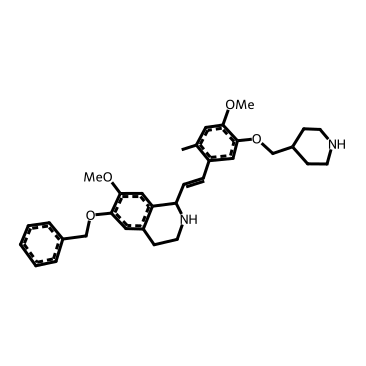 COc1cc2c(cc1OCc1ccccc1)CCNC2/C=C/c1cc(OCC2CCNCC2)c(OC)cc1C